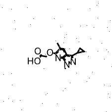 Cc1cc2c(C3CC3)nn(C)c2nc1OCC(=O)O